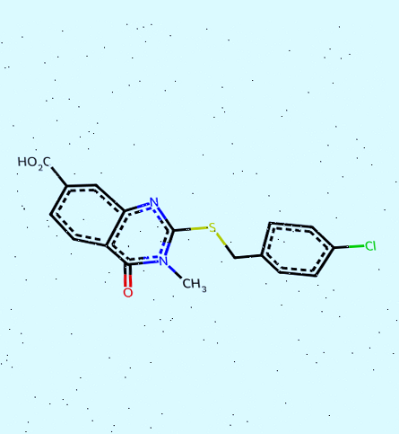 Cn1c(SCc2ccc(Cl)cc2)nc2cc(C(=O)O)ccc2c1=O